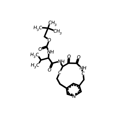 CC(C)C(NC(=O)OCC(C)(C)C)C(=O)NC1CCCc2cncc(c2)CCNC(=O)C1=O